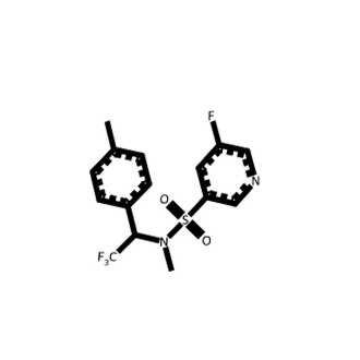 Cc1ccc(C(N(C)S(=O)(=O)c2cncc(F)c2)C(F)(F)F)cc1